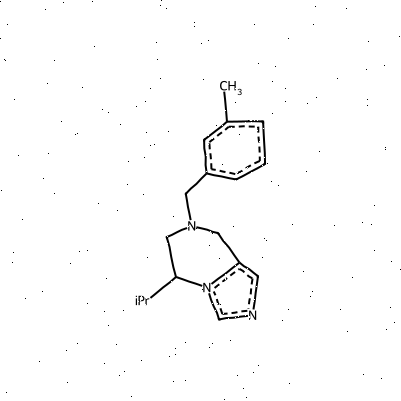 Cc1cccc(CN2Cc3cncn3C(C(C)C)C2)c1